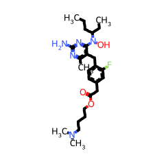 CCCC(CC)N(O)c1nc(N)nc(C)c1Cc1ccc(CC(=O)OCCCCN(C)C)cc1F